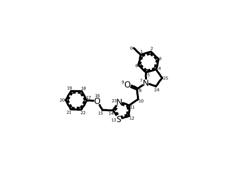 Cc1ccc2c(c1)N(C(=O)Cc1csc(COc3ccccc3)n1)CC2